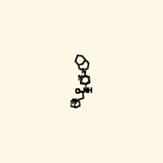 O=C(CN1CC2CCC1CC2)Nc1ccc(N2CCC3CCCC(C3)C2)nc1